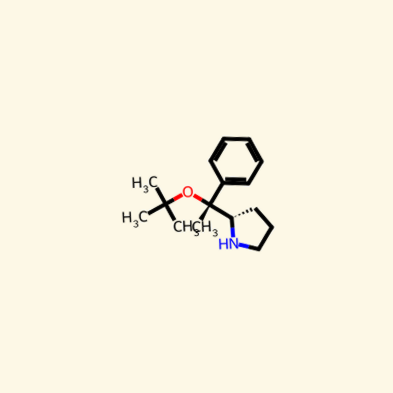 CC(C)(C)O[C@](C)(c1ccccc1)[C@@H]1CCCN1